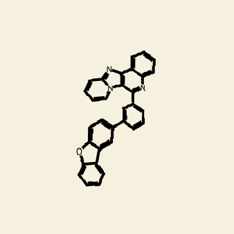 c1cc(-c2ccc3oc4ccccc4c3c2)cc(-c2nc3ccccc3c3nc4ccccn4c23)c1